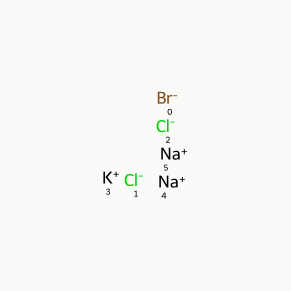 [Br-].[Cl-].[Cl-].[K+].[Na+].[Na+]